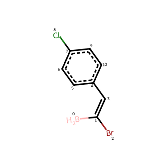 B/C(Br)=C\c1ccc(Cl)cc1